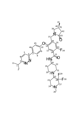 CC(C)c1ccc(-c2ccc(Oc3cc(C(=O)NC4CCN(C5CCN(C)CC5(F)F)CC4)c(F)cc3CN3C[C@@H](C)CC3=O)cc2)nn1